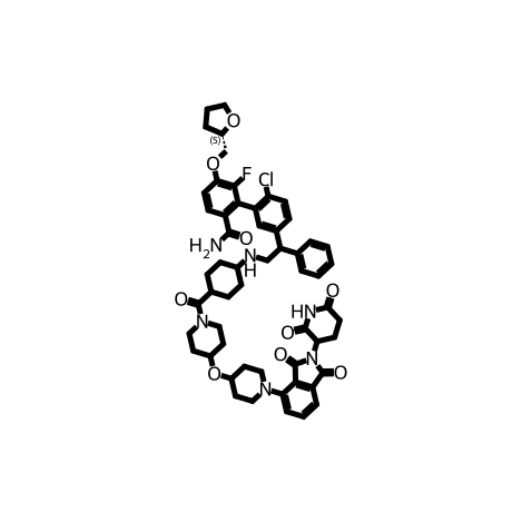 NC(=O)c1ccc(OC[C@@H]2CCCO2)c(F)c1-c1cc(C(CNC2CCC(C(=O)N3CCC(OC4CCN(c5cccc6c5C(=O)N(C5CCC(=O)NC5=O)C6=O)CC4)CC3)CC2)c2ccccc2)ccc1Cl